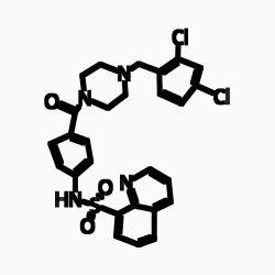 O=C(c1ccc(NS(=O)(=O)c2cccc3cccnc23)cc1)N1CCN(Cc2ccc(Cl)cc2Cl)CC1